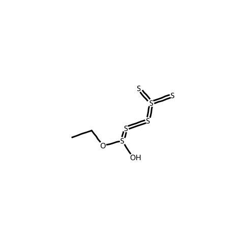 CCOS(O)=S=S=S(=S)=S